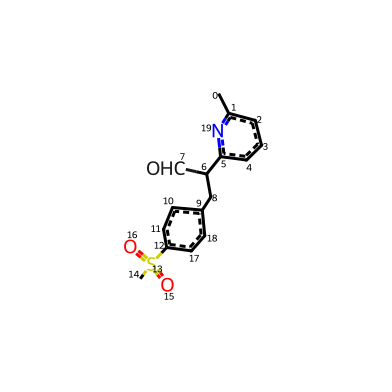 Cc1cccc(C(C=O)Cc2ccc(S(C)(=O)=O)cc2)n1